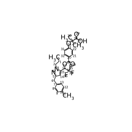 CCCn1nc(Cc2ccc(C)cc2)cc1[C@H](OC(=O)c1ccc(OC(C)(C)C(=O)O)cc1)C(F)(F)F